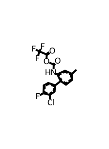 Cc1ccc(-c2ccc(F)c(Cl)c2)c(NC(=O)OC(=O)C(F)(F)F)c1